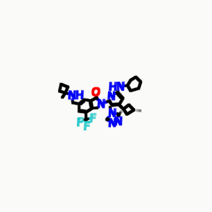 Cn1cnnc1[C@]1(c2cc(NC3CCCCC3)nc(N3Cc4c(cc(CNC5(C)CCC5)cc4C(F)(F)F)C3=O)c2)C[C@H](C)C1